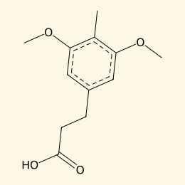 COc1cc(CCC(=O)O)cc(OC)c1C